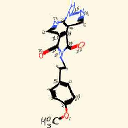 COc1ccc(CCN2C(=O)c3cnc4[nH]ncc4c3C2=O)cc1